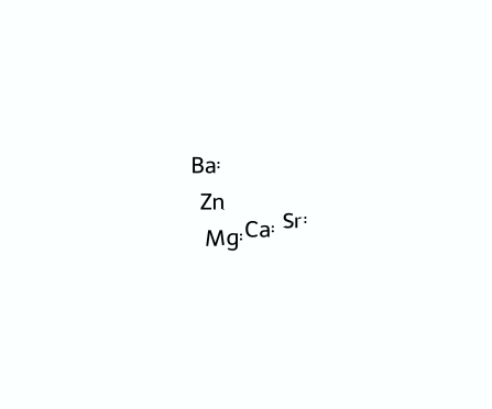 [Ba].[Ca].[Mg].[Sr].[Zn]